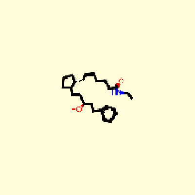 CCNC(=O)CCC/C=C\C[C@H]1CCCC1/C=C/C(O)CCc1ccccc1